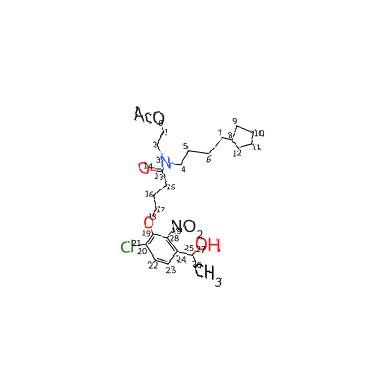 CC(=O)OCCN(CCCCC1CCCC1)C(=O)CCCOc1c(Cl)ccc(C(C)O)c1[N+](=O)[O-]